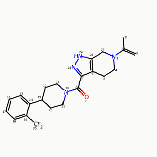 C=C(C)N1CCc2c(C(=O)N3CCC(c4ccccc4C(F)(F)F)CC3)n[nH]c2C1